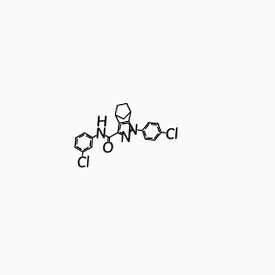 O=C(Nc1cccc(Cl)c1)c1nn(-c2ccc(Cl)cc2)c2c1C1CCC2C1